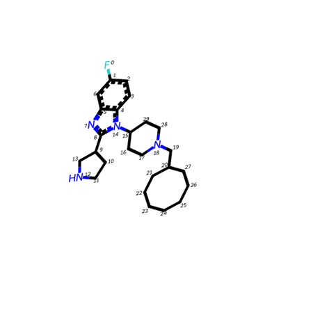 Fc1ccc2c(c1)nc(C1CCNC1)n2C1CCN(CC2CCCCCCC2)CC1